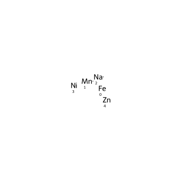 [Fe].[Mn].[Na].[Ni].[Zn]